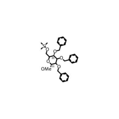 CO[C@H]1OC(CO[Si](C)(C)C)[C@@H](OCc2ccccc2)C(OCc2ccccc2)C1OCc1ccccc1